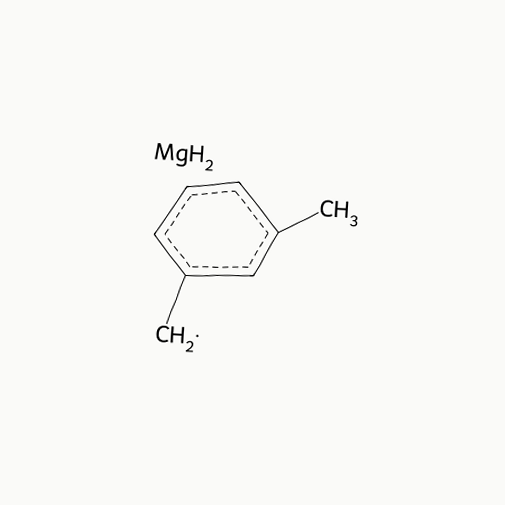 [CH2]c1cccc(C)c1.[MgH2]